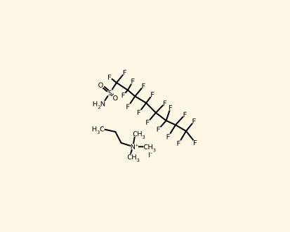 CCC[N+](C)(C)C.NS(=O)(=O)C(F)(F)C(F)(F)C(F)(F)C(F)(F)C(F)(F)C(F)(F)C(F)(F)C(F)(F)F.[I-]